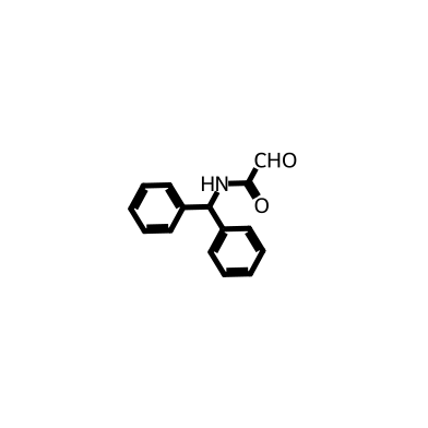 O=CC(=O)NC(c1ccccc1)c1ccccc1